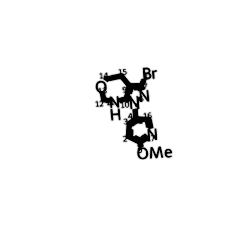 COc1ccc(-n2nc(Br)c3c2NCOCC3)cn1